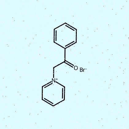 O=C(C[n+]1ccccc1)c1ccccc1.[Br-]